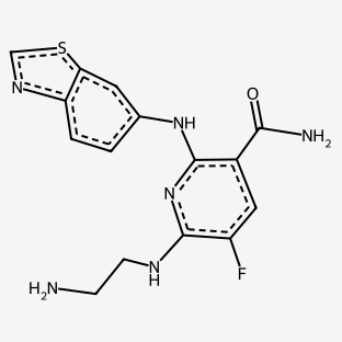 NCCNc1nc(Nc2ccc3ncsc3c2)c(C(N)=O)cc1F